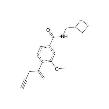 C#CCC(=C)c1ccc(C(=O)NCC2CCC2)cc1OC